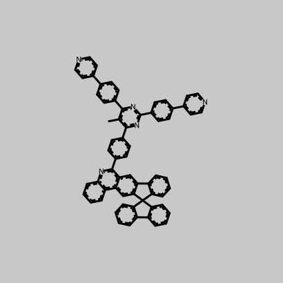 Cc1c(-c2ccc(-c3ccncc3)cc2)nc(-c2ccc(-c3ccncc3)cc2)nc1-c1ccc(-c2nc3ccccc3c3cc4c(cc23)-c2ccccc2C42c3ccccc3-c3ccccc32)cc1